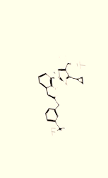 O=C(O)c1cn(-c2cccc3cc(Cc4cccc(C(F)(F)F)c4)sc23)nc1C1CC1